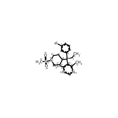 [CH2]C[C@@](c1cccc(F)c1)(c1c(C)ncnc1C)C1CCN(S(C)(=O)=O)CC1